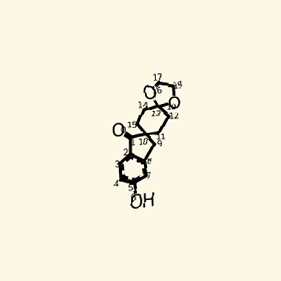 O=C1c2ccc(O)cc2CC12CCC1(CC2)OCCO1